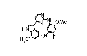 COc1cc(F)c([N+](=O)[O-])cc1Nc1nccc(-c2c[nH]c3c(C)cccc23)n1